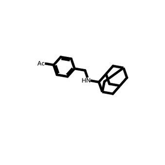 CC(=O)c1ccc(CNC2C3CC4CC(C3)CC2C4)cc1